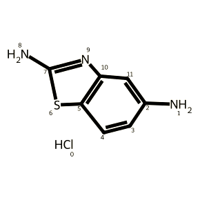 Cl.Nc1ccc2sc(N)nc2c1